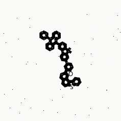 CC1(C)c2ccc(-c3c4ccccc4c(-c4ccccc4)c4ccccc34)cc2-c2ccc(-c3ccc4oc5c(ccc6ccc7sc8ccccc8c7c65)c4c3)cc21